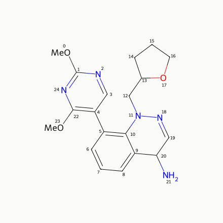 COc1ncc(-c2cccc3c2N(CC2CCCO2)N=CC3N)c(OC)n1